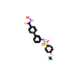 O=C(NO)c1ccc(-c2cccc(NS(=O)(=O)c3ccc(OC(F)(F)F)cc3)c2)cc1